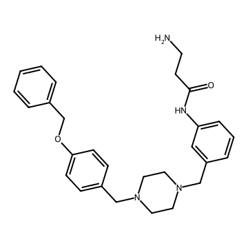 NCCC(=O)Nc1cccc(CN2CCN(Cc3ccc(OCc4ccccc4)cc3)CC2)c1